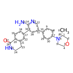 C[C@@H]1COCCN1c1ccc(-c2cnc(N)c(-c3ccc4c(c3)CCNC4=O)c2)cc1